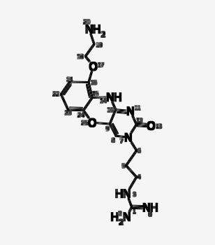 N=C(N)NCCCn1cc2c(nc1=O)Nc1c(OCCN)cccc1O2